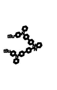 CC(C)(C)c1ccc(N(c2ccccc2)c2ccc(-c3ccc(-c4nc5ccccc5n4-c4ccc(-c5ccc(N(c6ccccc6)c6ccc(C(C)(C)C)cc6)cc5)cc4)cc3)cc2)cc1